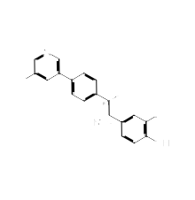 Cc1ccc([C@H](N)[C@H](O)c2ccc(-c3cncc(F)c3)cc2)cc1F